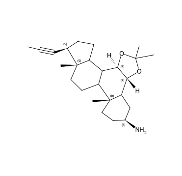 CC#C[C@H]1CCC2C3C(CC[C@@]21C)[C@@]1(C)CC[C@H](N)CC1[C@H]1OC(C)(C)O[C@H]31